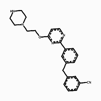 N#Cc1cccc(Cc2cccc(-c3nccc(OCCN4CCNCC4)n3)c2)c1